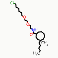 CCCCCC1(C)CCCCCC(C(=O)NCCOCCOCCCCCCCl)CC1